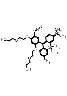 Cc1ccc2c(c1)[Si](C)(C)C1=CC(=[N+](C)C)C=CC1=C2c1cc(N=[N+]=[N-])c(OCCOCCO)cc1OCCOCCO